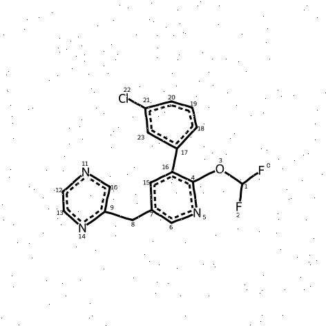 FC(F)Oc1ncc(Cc2cnccn2)cc1-c1cccc(Cl)c1